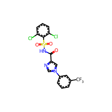 O=C(NS(=O)(=O)c1c(Cl)cccc1Cl)c1cn(-c2cccc(C(F)(F)F)c2)cn1